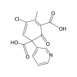 CC1=C(C(=O)O)C(=O)C(C(=O)O)(c2cccnc2)C=C1Cl